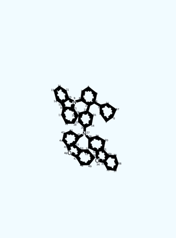 c1ccc(-c2cccc(-n3c4ccccc4c4ccccc43)c2-c2ccc(N(c3ccc4c(c3)oc3ccccc34)c3cccc4oc5ccccc5c34)cc2)cc1